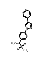 CC(c1ccc(-n2cc(-c3ccncc3)cn2)nc1)S(C)(=O)=O